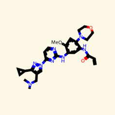 C=CC(=O)Nc1cc(Nc2nccc(-n3cc(CN(C)C)c(C4CC4)n3)n2)c(OC)cc1N1CCOCC1